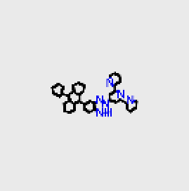 N=C1C=CC(c2c3ccccc3c(-c3ccccc3)c3ccccc23)=C/C1=N/Nc1cc(-c2ccccn2)nc(-c2ccccn2)c1